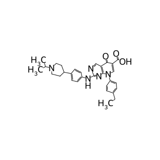 CCc1ccc(-n2cc(C(=O)O)c(=O)c3cnc(Nc4ccc(C5CCN(C(C)C)CC5)cc4)nc32)cc1